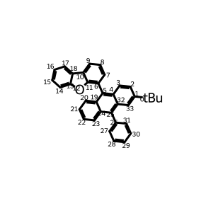 CC(C)(C)c1ccc2c(-c3cccc4c3oc3ccccc34)c3ccccc3c(-c3ccccc3)c2c1